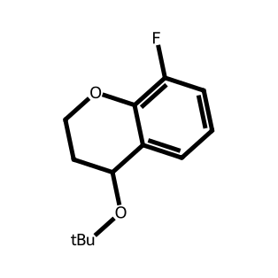 CC(C)(C)OC1CCOc2c(F)cccc21